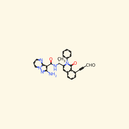 C[C@@H](NC(=O)c1c(N)nn2cccnc12)c1cc2cccc(C#CC=O)c2c(=O)n1-c1ccccc1